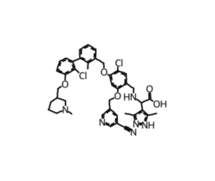 Cc1n[nH]c(C)c1C(NCc1cc(Cl)c(OCc2cccc(-c3cccc(OCC4CCCN(C)C4)c3Cl)c2C)cc1OCc1cncc(C#N)c1)C(=O)O